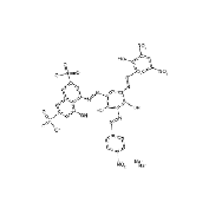 O=[N+]([O-])c1ccc(N=Nc2c(O)c(N=Nc3cc([N+](=O)[O-])cc([N+](=O)[O-])c3O)cc(N=Nc3cc(S(=O)(=O)[O-])cc4cc(S(=O)(=O)[O-])cc(O)c34)c2O)cc1.[Na+].[Na+]